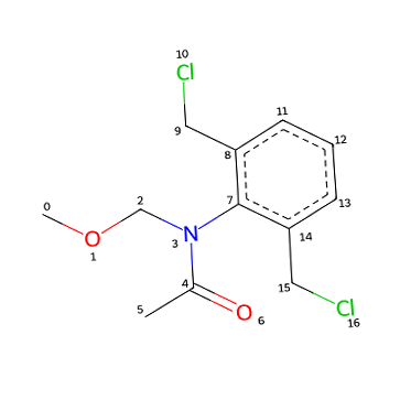 COCN(C(C)=O)c1c(CCl)cccc1CCl